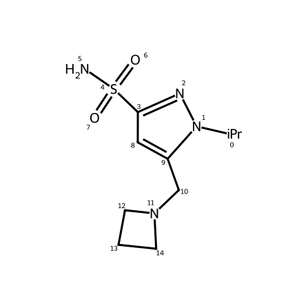 CC(C)n1nc(S(N)(=O)=O)cc1CN1CCC1